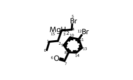 CCCCCBr.O=Cc1ccc(Br)cc1.[MgH2]